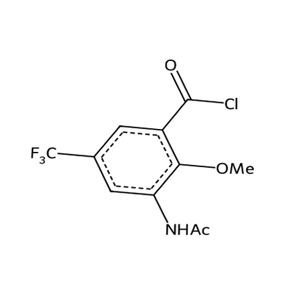 COc1c(NC(C)=O)cc(C(F)(F)F)cc1C(=O)Cl